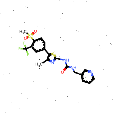 Cc1nc(NC(=O)NCc2cccnc2)sc1-c1ccc(S(C)(=O)=O)c(C(F)(F)F)c1